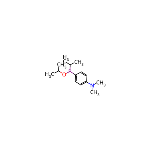 CC(C)OP(c1ccc(N(C)C)cc1)C(C)C